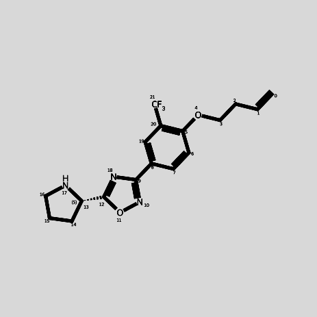 C=CCCOc1ccc(-c2noc([C@@H]3CCCN3)n2)cc1C(F)(F)F